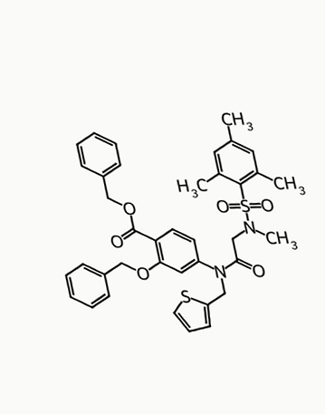 Cc1cc(C)c(S(=O)(=O)N(C)CC(=O)N(Cc2cccs2)c2ccc(C(=O)OCc3ccccc3)c(OCc3ccccc3)c2)c(C)c1